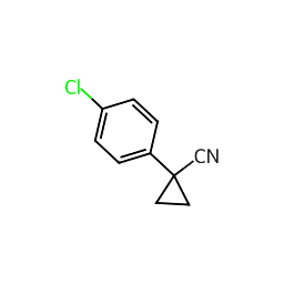 N#CC1(c2ccc(Cl)cc2)CC1